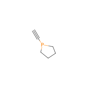 C#CP1CCCC1